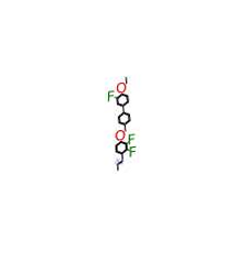 C/C=C/c1ccc(OCc2ccc(-c3ccc(OCC)c(F)c3)cc2)c(F)c1F